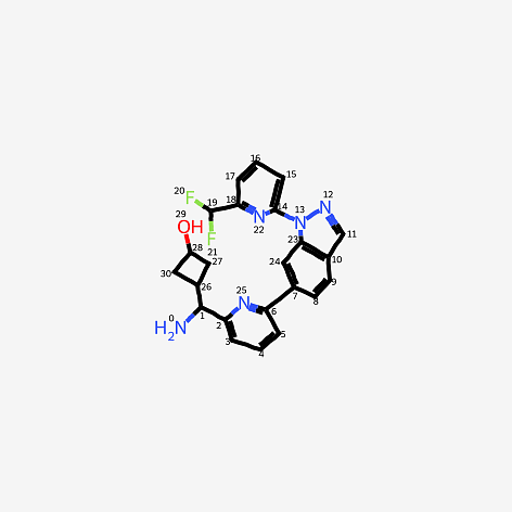 NC(c1cccc(-c2ccc3cnn(-c4cccc(C(F)F)n4)c3c2)n1)C1CC(O)C1